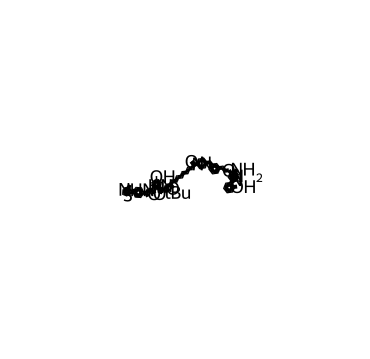 Cc1ncsc1-c1ccc(C(C)NC(=O)[C@@H]2C[C@@H](O)CN2C(=O)C(NC(=O)CCCCCCCCC(=O)N2CCN(Cc3cccc(CCOc4cc(-c5ccccc5O)nnc4N)c3)CC2)C(C)(C)C)cc1